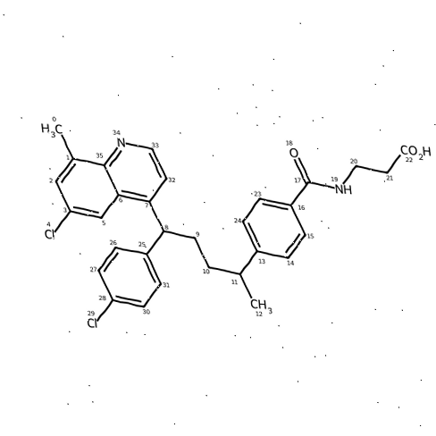 Cc1cc(Cl)cc2c(C(CCC(C)c3ccc(C(=O)NCCC(=O)O)cc3)c3ccc(Cl)cc3)ccnc12